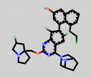 Oc1cc(-c2c(F)cc3c(N4CC5CCC(C4)N5)nc(OCC45CCCN4CC(F)C5)nc3c2F)c2c(CCF)cccc2c1